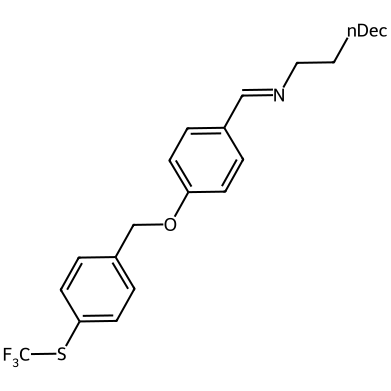 CCCCCCCCCCCCN=Cc1ccc(OCc2ccc(SC(F)(F)F)cc2)cc1